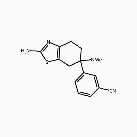 CNC1(c2cccc(C#N)c2)CCc2nc(N)sc2C1